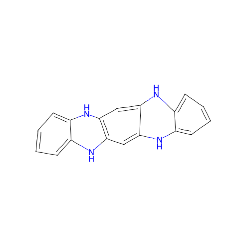 c1ccc2[nH]c3cc4[nH]c5ccccc5[nH]c4cc3[nH]c2c1